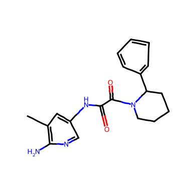 Cc1cc(NC(=O)C(=O)N2CCCCC2c2ccccc2)cnc1N